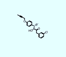 CC#CCOc1ccc([S+]([O-])N(O)C(=O)Cc2cccc(Cl)c2)cc1